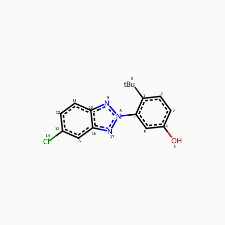 CC(C)(C)c1ccc(O)cc1-n1nc2ccc(Cl)cc2n1